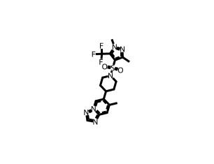 Cc1cc2ncnn2cc1C1CCN(S(=O)(=O)c2c(C)nn(C)c2C(F)(F)F)CC1